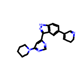 C1=NCCC=C1c1ccc2[nH]nc(-c3cc(N4CCCCC4)ncn3)c2c1